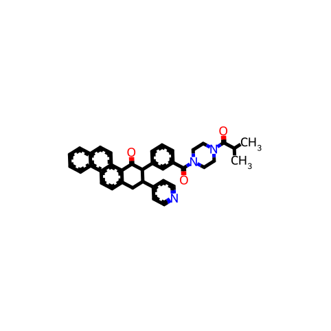 CC(C)C(=O)N1CCN(C(=O)c2cccc(C3C(=O)c4c(ccc5c4ccc4ccccc45)CC3c3ccncc3)c2)CC1